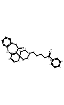 O=C1Cc2ccccc2SC2=C1C1(CC=C2)CCN(CCCCC(=O)c2ccccc2)CC1